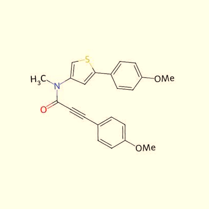 COc1ccc(C#CC(=O)N(C)c2csc(-c3ccc(OC)cc3)c2)cc1